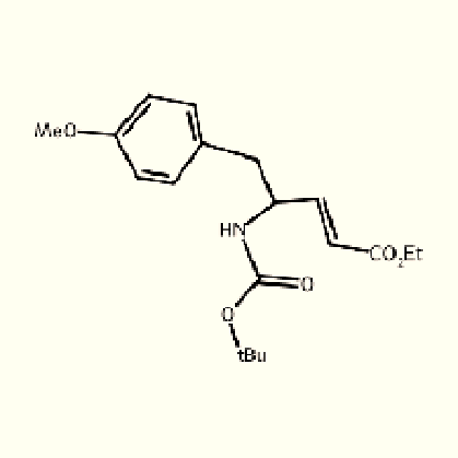 CCOC(=O)/C=C/C(Cc1ccc(OC)cc1)NC(=O)OC(C)(C)C